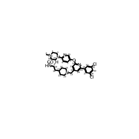 CN1CCN(c2ccc(Oc3cc(CN4CCC(CCNC(=O)O)CC4)cc(-c4cc(Cl)cc(Cl)c4)n3)cn2)CC1